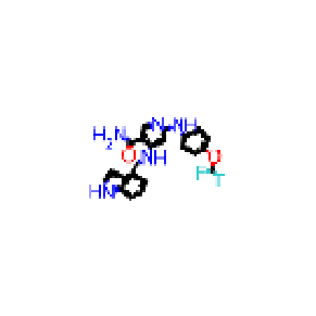 NC(=O)c1cnc(Nc2ccc(OC(F)F)cc2)cc1NCc1cccc2[nH]ccc12